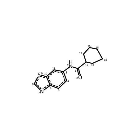 O=C(Nc1ccc2n[c]sc2c1)C1CCCCC1